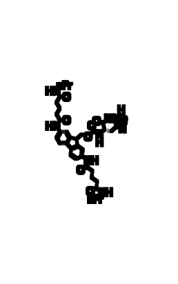 CCCNC(=O)CCCC(=O)Nc1ccc2c(c1)C(COC(=O)N[C@@H](Cc1c[nH]cn1)C(=O)NC)c1cc(NC(=O)CCCC(=O)NCCC)ccc1-2